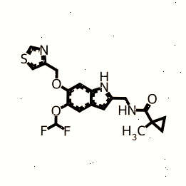 CC1(C(=O)NCc2cc3cc(OC(F)F)c(OCc4cscn4)cc3[nH]2)CC1